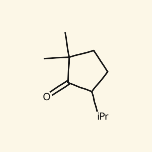 CC(C)C1CCC(C)(C)C1=O